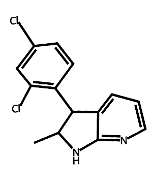 CC1Nc2ncccc2C1c1ccc(Cl)cc1Cl